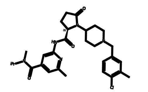 Cc1cc(C(=O)N(C)C(C)C)cc(NC(=O)[C@H]2CCC(=O)N2C2CCN(Cc3ccc(Cl)c(C)c3)CC2)n1